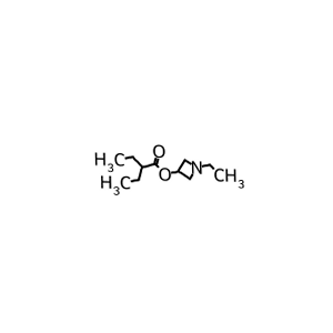 CCC(CC)C(=O)OC1CN(CC)C1